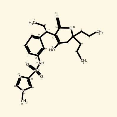 CCCC1(CCC)CC(O)=C([C@H](CC)c2cccc(NS(=O)(=O)c3cn(C)cn3)c2)C(=O)O1